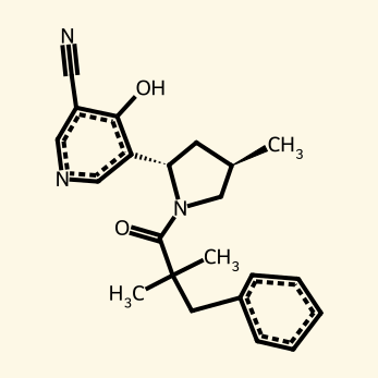 C[C@@H]1C[C@@H](c2cncc(C#N)c2O)N(C(=O)C(C)(C)Cc2ccccc2)C1